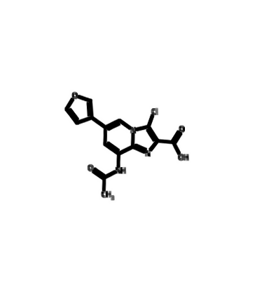 CC(=O)Nc1cc(-c2ccoc2)cn2c(Cl)c(C(=O)O)nc12